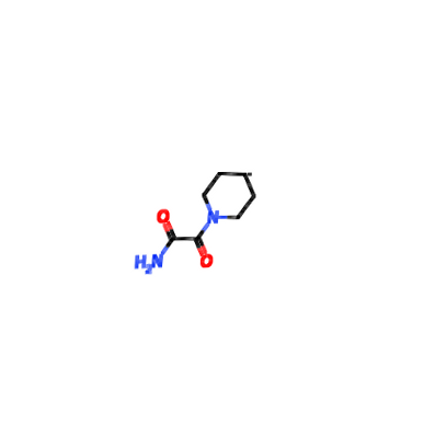 NC(=O)C(=O)N1CC[CH]CC1